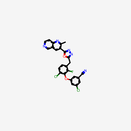 Cc1nc2ccncc2cc1-c1nnc(Cc2ccc(Cl)c(Oc3cc(Cl)cc(C#N)c3)c2F)o1